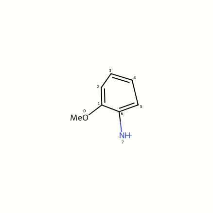 COc1ccccc1[NH]